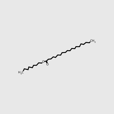 CCCCCCCCCCCCCCCCCCCC(=O)OCCCCCCCCC